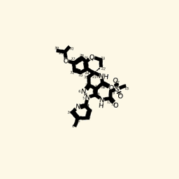 Cc1ccc(-n2nc3c(c2NC(=O)CS(C)(=O)=O)C(=O)N[C@@]2(CCOc4cc(OC(C)C)ccc42)C3)nc1